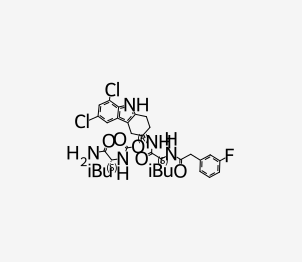 CCC(C)[C@H](NC(=O)Cc1cccc(F)c1)C(=O)N[C@@]1(OC(=O)NC(C(N)=O)[C@@H](C)CC)CCc2[nH]c3c(Cl)cc(Cl)cc3c2C1